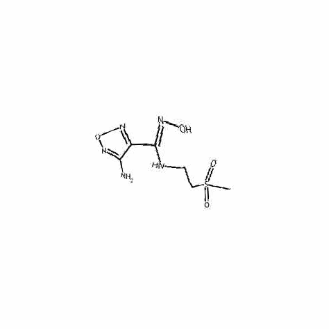 CS(=O)(=O)CCNC(=NO)c1nonc1N